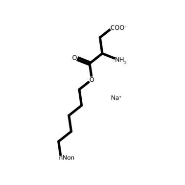 CCCCCCCCCCCCCCOC(=O)C(N)CC(=O)[O-].[Na+]